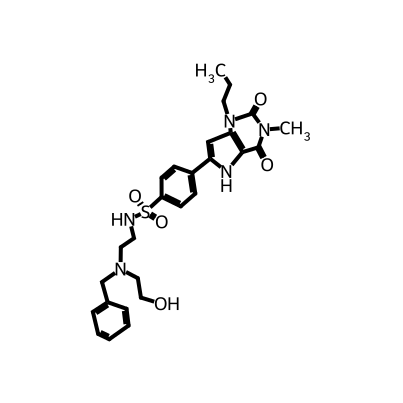 CCCn1c(=O)n(C)c(=O)c2[nH]c(-c3ccc(S(=O)(=O)NCCN(CCO)Cc4ccccc4)cc3)cc21